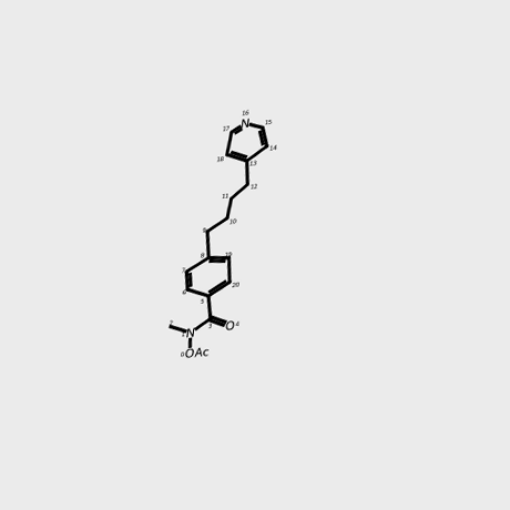 CC(=O)ON(C)C(=O)c1ccc(CCCCc2ccncc2)cc1